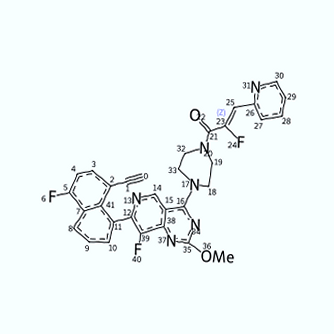 C#Cc1ccc(F)c2cccc(-c3ncc4c(N5CCN(C(=O)/C(F)=C/c6ccccn6)CC5)nc(OC)nc4c3F)c12